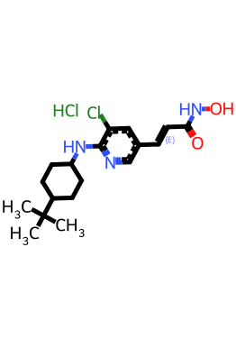 CC(C)(C)C1CCC(Nc2ncc(/C=C/C(=O)NO)cc2Cl)CC1.Cl